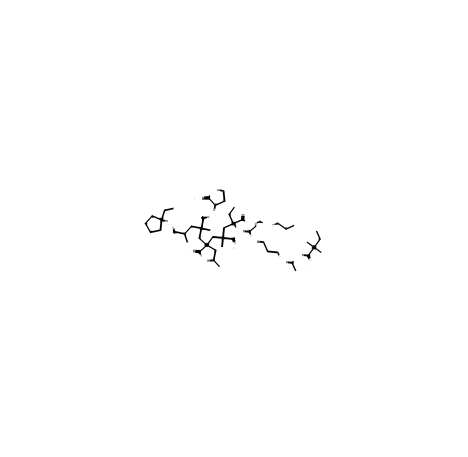 CCCOCOC(=O)C(C)(CC)CC(C)(CC1(CC(C)(CC(C)C(=O)OC2(CC)CCCC2)C(=O)OC2CCOC2=O)CC(C)OC1=O)C(=O)OC(C)OCCCOC(C)OC(=O)C(C)(C)CC